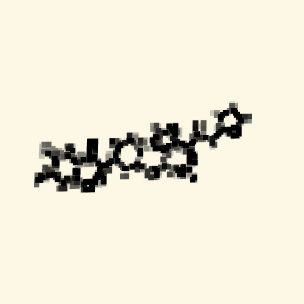 NC(=O)c1c(C(=O)NCC2CCCO2)ncn1[C@H]1CC[C@H](C(=O)Nc2cc(F)c(F)cc2Cl)CC1